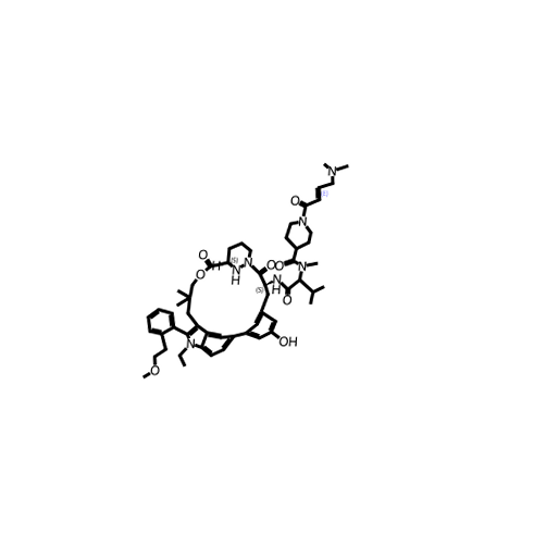 CCn1c(-c2ccccc2CCOC)c2c3cc(ccc31)-c1cc(O)cc(c1)C[C@H](NC(=O)C(C(C)C)N(C)C(=O)C1CCN(C(=O)/C=C/CN(C)C)CC1)C(=O)N1CCC[C@H](N1)C(=O)OCC(C)(C)C2